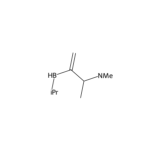 C=C(BC(C)C)C(C)NC